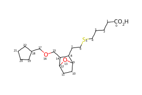 O=C(O)CCCCSCCC1C2CCC(O2)C1COCC1CCCC1